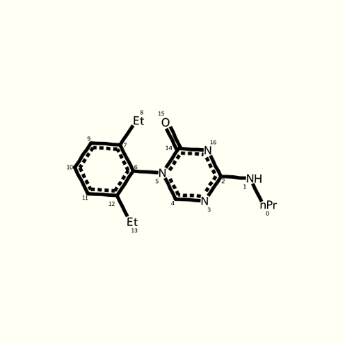 CCCNc1ncn(-c2c(CC)cccc2CC)c(=O)n1